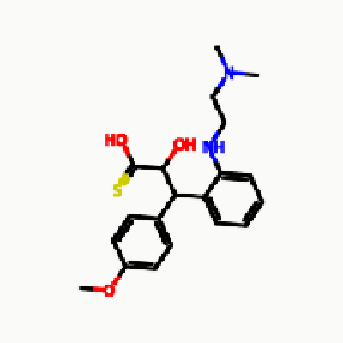 COc1ccc(C(c2ccccc2NCCN(C)C)C(O)C(O)=S)cc1